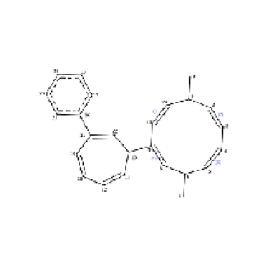 CC1/C=C\C=C/C(C)/C=C(C2C=CC=CC(c3ccccc3)=C2)\C=C/1